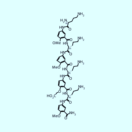 COc1ccc(NC(=O)[C@@H](CCCN)NC(=O)c2cc(NC(=O)[C@@H](CCCN)NC(=O)c3cc(NC(=O)[C@@H](CCCN)NC(=O)c4cc(NC(=O)[C@H](N)CCCN)ccc4OC)ccc3OC)ccc2OCC(=O)O)cc1C(N)=O